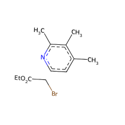 CCOC(=O)CBr.Cc1ccnc(C)c1C